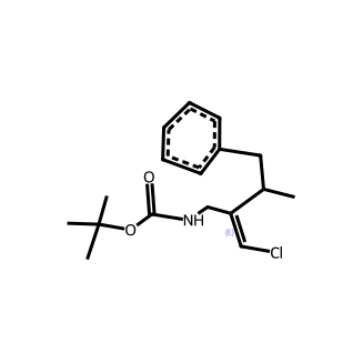 CC(Cc1ccccc1)/C(=C\Cl)CNC(=O)OC(C)(C)C